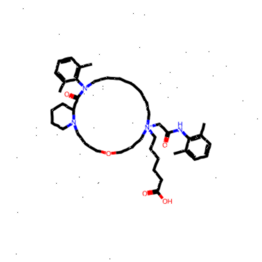 Cc1cccc(C)c1NC(=O)C[N+]1(CCCCCC(=O)O)CCCCCCCN(c2c(C)cccc2C)C(=O)C2CCCCN2CCCOCCC1